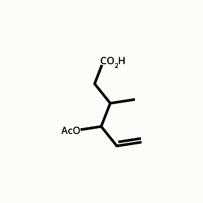 C=CC(OC(C)=O)C(C)CC(=O)O